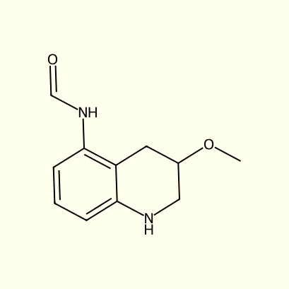 COC1CNc2cccc(NC=O)c2C1